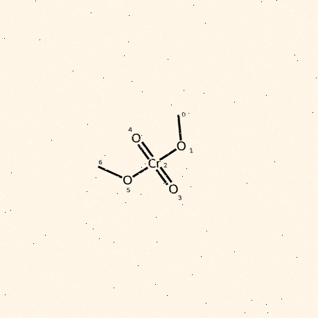 C[O][Cr](=[O])(=[O])[O]C